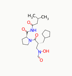 CC(C)CC(=O)NC(=O)[C@@H]1CCCN1C(=O)[C@H](CC1CCCC1)CN(O)C=O